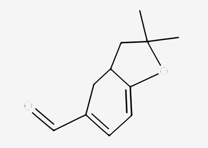 CC1(C)CC2CC(C=O)=CC=C2O1